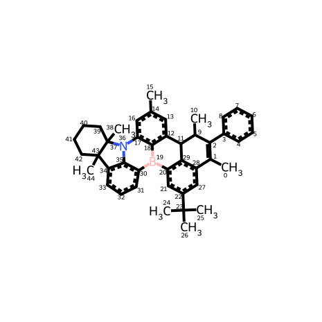 CC1=C(c2ccccc2)C(C)C2c3cc(C)cc4c3B(c3cc(C(C)(C)C)cc1c32)c1cccc2c1N4C1(C)CCCCC21C